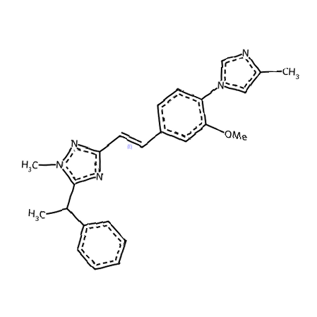 COc1cc(/C=C/c2nc(C(C)c3ccccc3)n(C)n2)ccc1-n1cnc(C)c1